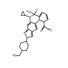 CC(F)(F)C1=CC=CC(C(N)=O)N1c1cc2cn(C3CCC(CO)CC3)nc2cc1OC1CC1